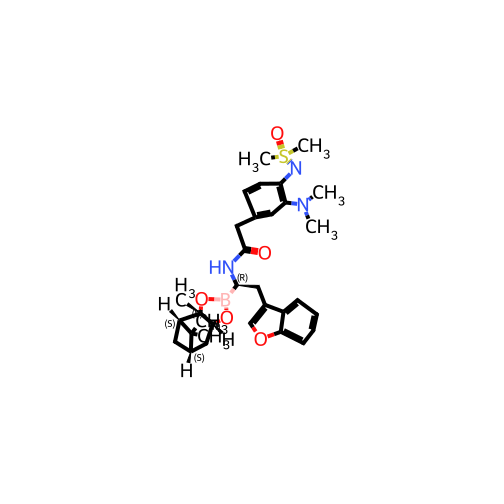 CN(C)c1cc(CC(=O)N[C@@H](Cc2coc3ccccc23)B2O[C@@H]3C[C@@H]4C[C@@H](C4(C)C)[C@]3(C)O2)ccc1N=S(C)(C)=O